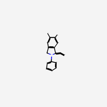 C=C=C1c2cc(C)c(C)cc2CN1c1ccccc1